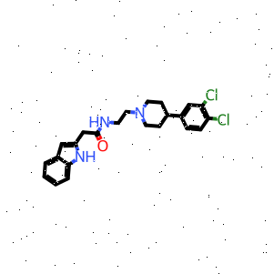 O=C(Cc1cc2ccccc2[nH]1)NCCN1CCC(c2ccc(Cl)c(Cl)c2)CC1